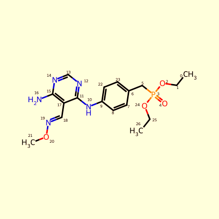 CCOP(=O)(Cc1ccc(Nc2ncnc(N)c2C=NOC)cc1)OCC